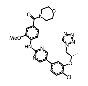 COc1cc(C(=O)N2CCOCC2)ccc1Nc1ncc(-c2ccc(Cl)c(O[C@@H](C)Cn3cnnn3)c2)cn1